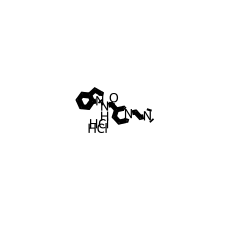 CN(C)CCN1CCCC(C(=O)NN2CCc3ccccc32)C1.Cl.Cl